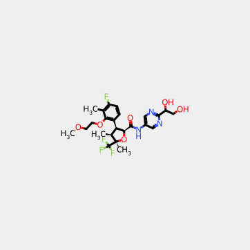 COCCOc1c([C@H]2[C@@H](C(=O)Nc3cnc(C(O)CO)nc3)O[C@@](C)(C(F)(F)F)[C@H]2C)ccc(F)c1C